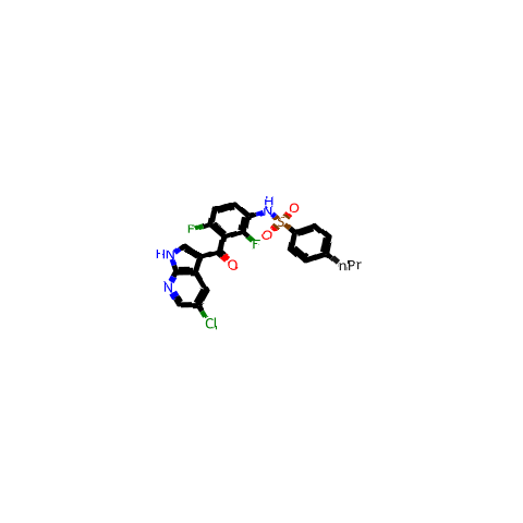 CCCc1ccc(S(=O)(=O)Nc2ccc(F)c(C(=O)c3c[nH]c4ncc(Cl)cc34)c2F)cc1